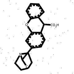 O=C(O)C1c2ccccc2Oc2cc(C3CC4CCN3CC4)ccc21